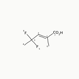 C/C(=C\C(C)(F)F)C(=O)O